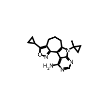 CC1(n2c3c(c4c(N)ncnc42)-c2noc(C4CC4)c2CCC3)CC1